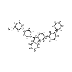 N#Cc1cccc(-c2ccc(-n3c4ccccc4c4cc(-c5cccc(-c6ccccc6)c5)ccc43)cc2)c1